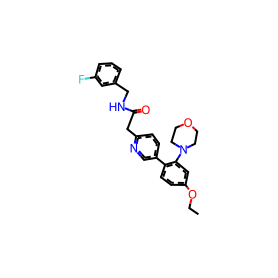 CCOc1ccc(-c2ccc(CC(=O)NCc3cccc(F)c3)nc2)c(N2CCOCC2)c1